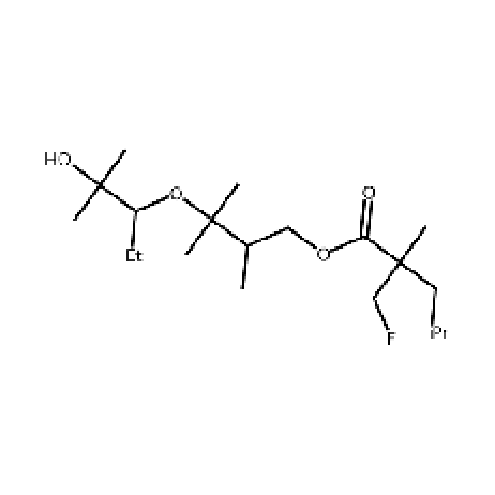 CCC(OC(C)(C)C(C)COC(=O)C(C)(CF)CC(C)C)C(C)(C)O